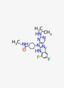 CCNC(=O)[C@H]1CC[C@@H](n2c(Nc3c(F)cc(F)cc3F)nc3cnc(NC(C)C)nc32)CC1